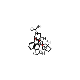 Cc1nc2ccccc2n1C1C[C@@H]2CC[C@@H](C1)N2CCC1(c2ccc3c(c2)OCO3)CCN(C(=O)C(C)C)CC1